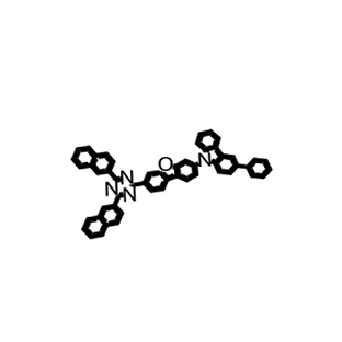 c1ccc(-c2ccc3c(c2)c2ccccc2n3-c2ccc3c(c2)oc2cc(-c4nc(-c5ccc6ccccc6c5)nc(-c5ccc6ccccc6c5)n4)ccc23)cc1